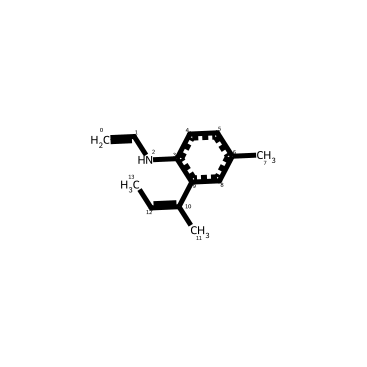 C=CNc1ccc(C)cc1/C(C)=C\C